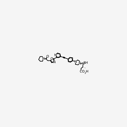 C[C@H](CC(=O)O)N(S)N1CCN(c2ccc(C#Cc3ccnc(-c4ncc(CC(=O)N5CCCCC5)o4)c3)cc2)CC1